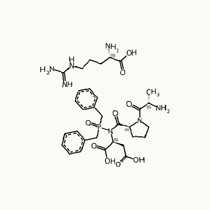 C[C@H](N)C(=O)N1CCC[C@H]1C(=O)N([C@@H](CC(=O)O)C(=O)O)P(=O)(Cc1ccccc1)Cc1ccccc1.N=C(N)NCCC[C@H](N)C(=O)O